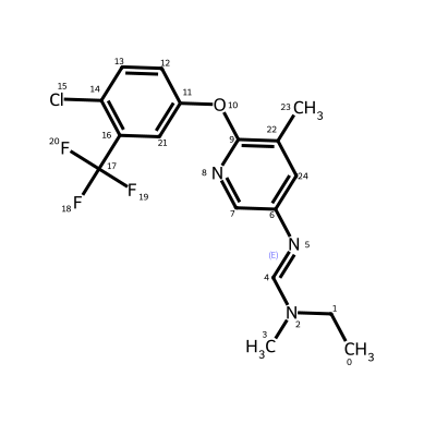 CCN(C)/C=N/c1cnc(Oc2ccc(Cl)c(C(F)(F)F)c2)c(C)c1